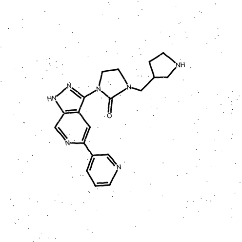 O=C1N(CC2CCNC2)CCN1c1n[nH]c2cnc(-c3cccnc3)cc12